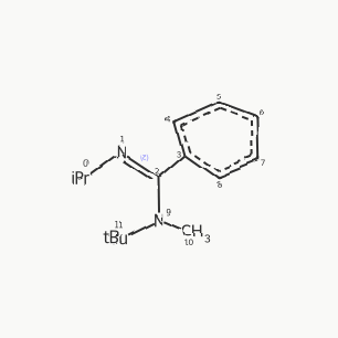 CC(C)/N=C(/c1ccccc1)N(C)C(C)(C)C